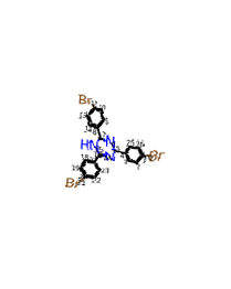 Brc1ccc(C2=NC(c3ccc(Br)cc3)NC(c3ccc(Br)cc3)=N2)cc1